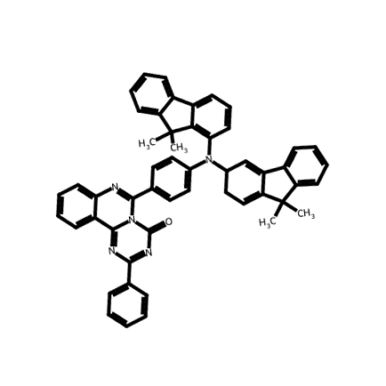 CC1(C)C2=CCC(N(c3ccc(-c4nc5ccccc5c5nc(-c6ccccc6)nc(=O)n45)cc3)c3cccc4c3C(C)(C)c3ccccc3-4)C=C2c2ccccc21